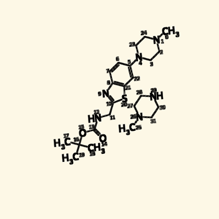 CN1CCN(c2ccc3nc(CNC(=O)OC(C)(C)C)sc3c2)CC1.CN1CCNCC1